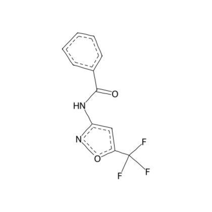 O=C(Nc1cc(C(F)(F)F)on1)c1ccccc1